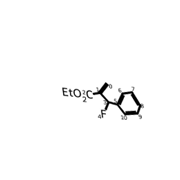 C=C(C(=O)OCC)C(F)c1ccccc1